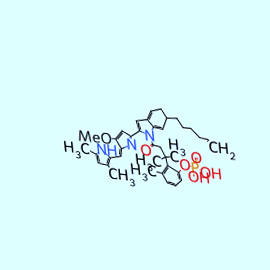 C=CCCCCC1C=c2c(cc(C3=N/C(=C/c4[nH]c(C)cc4C)C(OC)=C3)n2C(=O)CC(C)(C)c2c(C)cccc2OP(=O)(O)O)=CC1